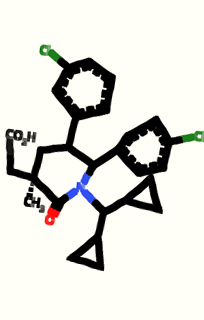 C[C@]1(CC(=O)O)CC(c2cccc(Cl)c2)C(c2ccc(Cl)cc2)N(C(C2CC2)C2CC2)C1=O